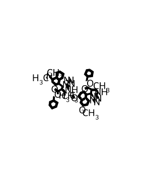 CC1=C(C(=O)OCc2ccccc2)C(c2ccc(N(C)C)c3ccccc23)n2nnnc2N1.COc1ccc2c(C3C(C(=O)OCc4ccccc4)=C(C)Nc4nnnn43)ccc(OC)c2c1